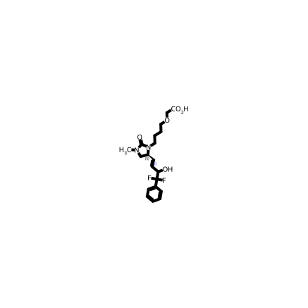 CN1C[C@H](/C=C/C(O)C(F)(F)c2ccccc2)N(CCCCOCC(=O)O)C1=O